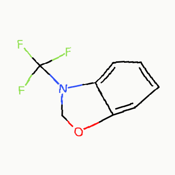 FC(F)(F)N1COc2ccccc21